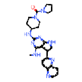 CNc1nc(NC2CCN(C(=O)N3CCCC3)CC2)nc2[nH]cc(-c3ccc4ncccc4n3)c12